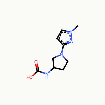 Cn1ccc(N2CCC(NC(=O)O)C2)n1